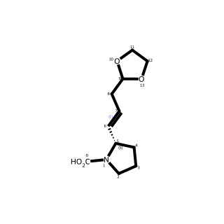 O=C(O)N1CCC[C@H]1/C=C/CC1OCCO1